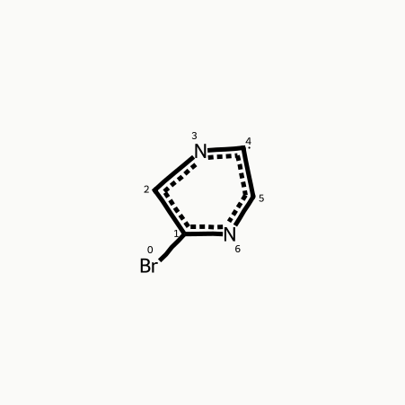 Brc1cn[c]cn1